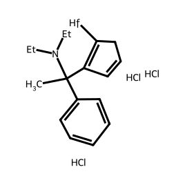 CCN(CC)C(C)(C1=[C]([Hf])CC=C1)c1ccccc1.Cl.Cl.Cl